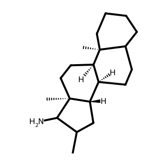 CC1C[C@H]2[C@@H]3CCC4CCCC[C@]4(C)[C@@H]3CC[C@]2(C)C1N